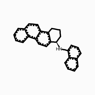 c1ccc2c(N[C@@H]3CCCc4c3ccc3c4ccc4ccccc43)cccc2c1